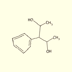 CC(O)C(c1ccccc1)C(C)O